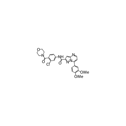 COc1ccc(-c2ccnc3cc(C(=O)Nc4ccc(C(=O)N5CCOCC5)c(Cl)c4)nn23)cc1OC